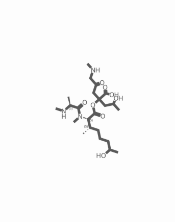 CNCC(=O)CC(CC(C)O)(OC(=O)[C@H]([C@@H](C)CCCC(C)O)N(C)C(=O)[C@H](C)NC)C(=O)O